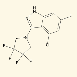 Fc1cc(Cl)c2c(N3CC(F)(F)C(F)(F)C3)n[nH]c2c1